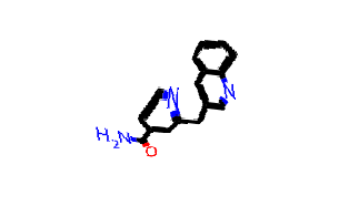 NC(=O)c1ccnc(Cc2cnc3ccccc3c2)c1